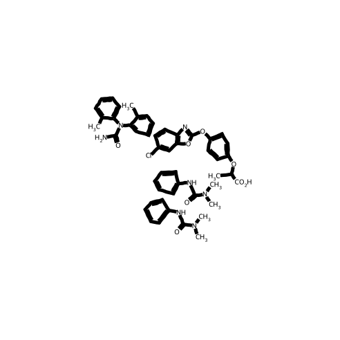 CC(Oc1ccc(Oc2nc3ccc(Cl)cc3o2)cc1)C(=O)O.CN(C)C(=O)Nc1ccccc1.CN(C)C(=O)Nc1ccccc1.Cc1ccccc1N(C(N)=O)c1ccccc1C